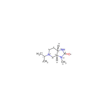 CC(C)N1CC[C@@H]2NC(=O)N(C)[C@@H]2C1